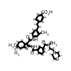 Cc1cc(NC(=O)c2c(NC(=O)c3cccc(C(=O)N(C)CCN4CCOCC4)c3)sc3c2CCC(C)(C)C3)ccc1CCc1ccc(C(=O)O)cc1